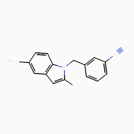 COc1ccc2c(c1)cc(C=O)n2Cc1cccc([N+]#N)c1